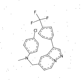 CN(Cc1ccn2ncc(-c3ccc(C(F)(F)F)cc3)c2c1)c1ccc(Cl)cc1